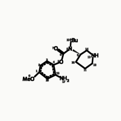 COc1ccc(OC(=O)N([C@H]2CCCNC2)C(C)(C)C)c(N)c1